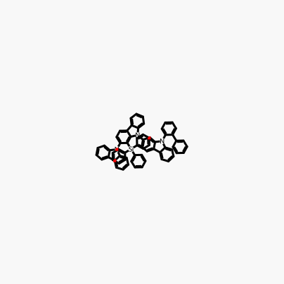 c1ccc(-c2ccccc2-n2c3ccccc3c3ccc(-n4c5ccccc5c5ccc(-n6c7ccccc7c7ccccc76)c([Si](c6ccccc6)(c6ccccc6)c6ccccc6)c54)cc32)cc1